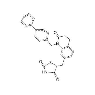 O=C1NC(=O)C(Cc2ccc3c(c2)N(Cc2ccc(-c4ccccc4)cc2)C(=O)CC3)S1